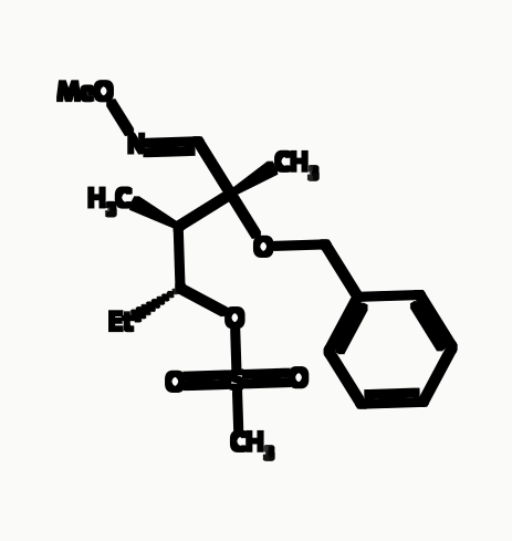 CC[C@@H](OS(C)(=O)=O)[C@@H](C)[C@](C)(/C=N/OC)OCc1ccccc1